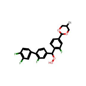 CCC1COC(c2ccc(C(OO)c3ccc(-c4ccc(F)c(F)c4)c(F)c3)c(F)c2)OC1